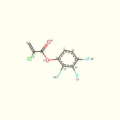 C=C(Cl)C(=O)Oc1ccc(F)c(F)c1F